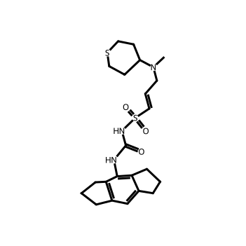 CN(C/C=C/S(=O)(=O)NC(=O)Nc1c2c(cc3c1CCC3)CCC2)C1CCSCC1